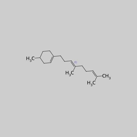 CC(C)=CCC/C(C)=C/CCC1=CCC(C)CC1